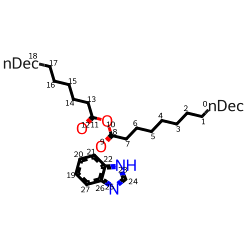 CCCCCCCCCCCCCCCCCC(=O)OC(=O)CCCCCCCCCCCCCCC.c1ccc2[nH]cnc2c1